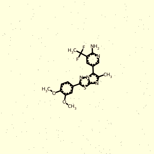 COc1ccc(-c2nn3c(-c4cnc(N)c(C(C)(F)F)c4)c(C)nc3s2)cc1OC